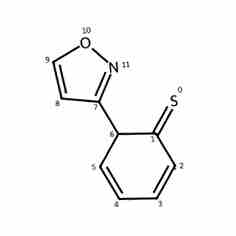 S=C1[C]=CC=CC1c1ccon1